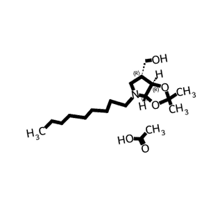 CC(=O)O.CCCCCCCCCN1C[C@H](CO)[C@H]2OC(C)(C)O[C@@H]21